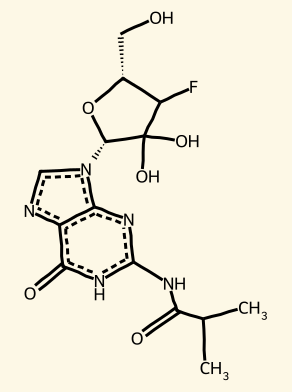 CC(C)C(=O)Nc1nc2c(ncn2[C@@H]2O[C@H](CO)C(F)C2(O)O)c(=O)[nH]1